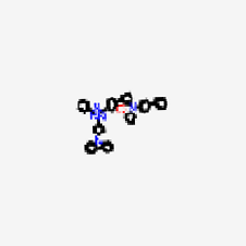 c1ccc(-c2ccc(N(c3ccccc3)c3cccc4c3oc3cc(-c5nc(-c6ccccc6)nc(-c6ccc(-n7c8ccccc8c8ccccc87)cc6)n5)ccc34)cc2)cc1